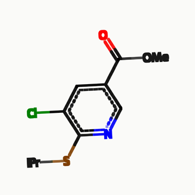 COC(=O)c1cnc(SC(C)C)c(Cl)c1